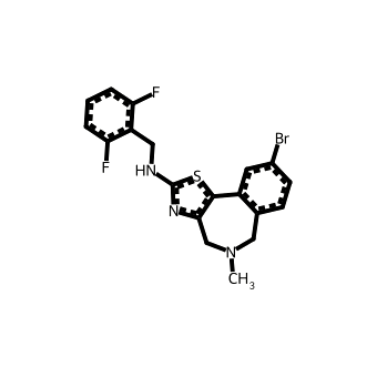 CN1Cc2ccc(Br)cc2-c2sc(NCc3c(F)cccc3F)nc2C1